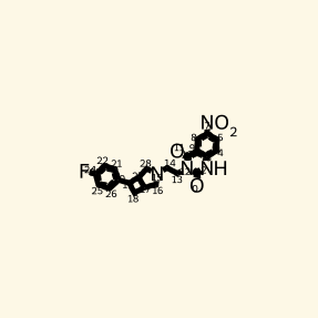 O=c1[nH]c2ccc([N+](=O)[O-])cc2c(=O)n1CCN1CC2CC(c3ccc(F)cc3)C2C1